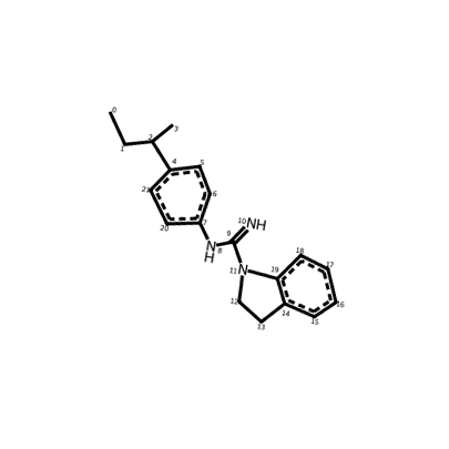 CCC(C)c1ccc(NC(=N)N2CCc3ccccc32)cc1